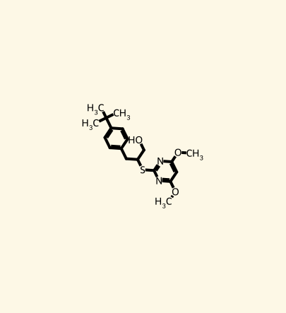 COc1cc(OC)nc(SC(CO)Cc2ccc(C(C)(C)C)cc2)n1